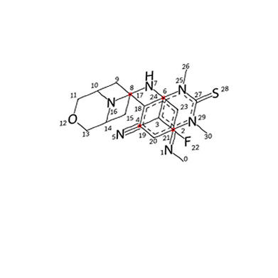 CN=c1c(C#N)c(NC2CC3COCC(C2)N3Cc2ccc(F)cc2)n(C)c(=S)n1C